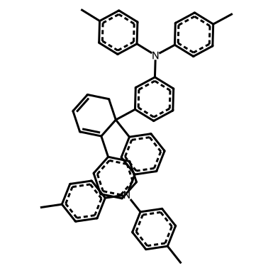 Cc1ccc(N(c2ccc(C)cc2)c2cccc(C3(c4cccc(N(c5ccc(C)cc5)c5ccc(C)cc5)c4)CC=CC=C3c3ccccc3)c2)cc1